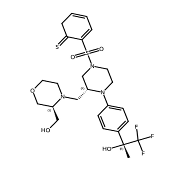 C[C@@](O)(c1ccc(N2CCN(S(=O)(=O)C3=CC=CCC3=S)C[C@H]2CN2CCOC[C@@H]2CO)cc1)C(F)(F)F